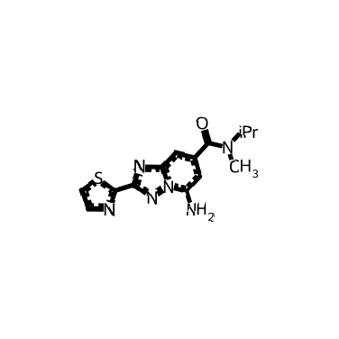 CC(C)N(C)C(=O)c1cc(N)n2nc(-c3nccs3)nc2c1